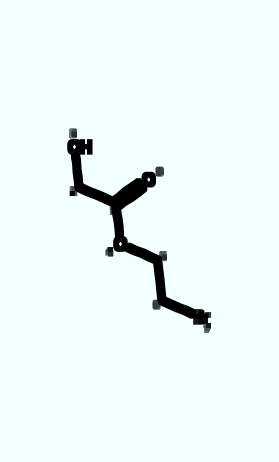 O=C(CO)OCCBr